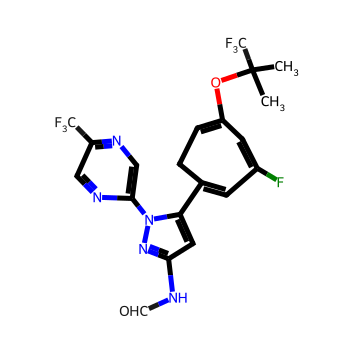 CC(C)(OC1=CCC(c2cc(NC=O)nn2-c2cnc(C(F)(F)F)cn2)=CC(F)=C1)C(F)(F)F